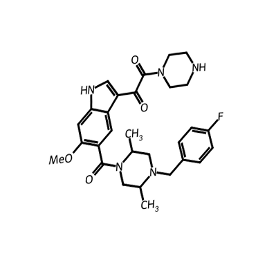 COc1cc2[nH]cc(C(=O)C(=O)N3CCNCC3)c2cc1C(=O)N1CC(C)N(Cc2ccc(F)cc2)CC1C